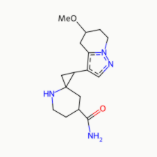 COC1CCn2ncc(C3CC34CC(C(N)=O)CCN4)c2C1